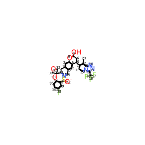 Cc1ccc(C(CC(=O)O)c2ccn3c(C(F)(F)F)nnc3c2C)cc1CN1CC2(COC2)Oc2ccc(F)cc2[S+]1[O-]